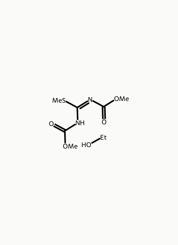 CCO.COC(=O)N=C(NC(=O)OC)SC